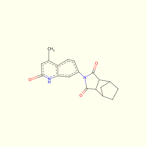 Cc1cc(=O)[nH]c2cc(N3C(=O)C4C5CCC(C5)C4C3=O)ccc12